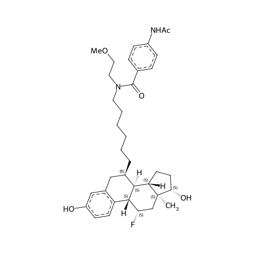 COCCN(CCCCCC[C@@H]1Cc2cc(O)ccc2[C@@H]2[C@@H]1[C@@H]1CC[C@H](O)[C@@]1(C)C[C@@H]2F)C(=O)c1ccc(NC(C)=O)cc1